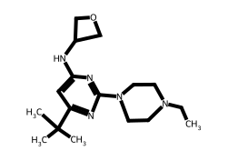 CCN1CCN(c2nc(NC3COC3)cc(C(C)(C)C)n2)CC1